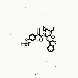 CCN(C#N)C(=O)C(Cc1csc2ccccc12)NC(=O)Nc1ccc(SC(F)(F)F)cc1